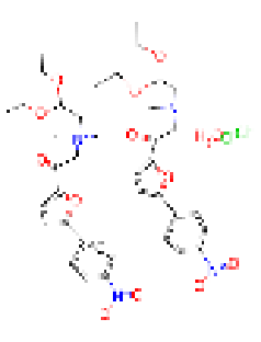 CCOC(C[N+](C)(C)CC(=O)c1ccc(-c2ccc([N+](=O)[O-])cc2)o1)OCC.CCOC(C[N+](C)(C)CC(=O)c1ccc(-c2ccc([N+](=O)[O-])cc2)o1)OCC.O.[Cl-].[Cl-]